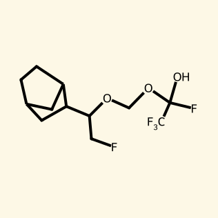 OC(F)(OCOC(CF)C1CC2CCC1C2)C(F)(F)F